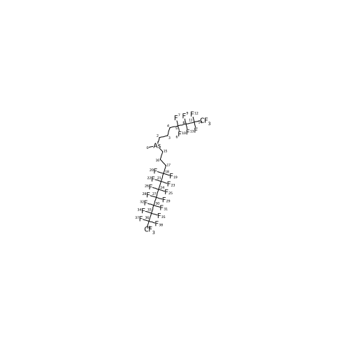 C[As](CCCC(F)(F)C(F)(F)C(F)(F)C(F)(F)F)CCCC(F)(F)C(F)(F)C(F)(F)C(F)(F)C(F)(F)C(F)(F)C(F)(F)C(F)(F)F